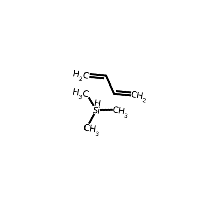 C=CC=C.C[SiH](C)C